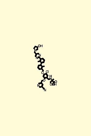 Cc1c(COc2cc(OCc3cncc(C#N)c3)c(CNC(C)(CO)C(=O)O)cc2Cl)cccc1-c1cccc(-c2ncc(CN3CC[C@@H](O)C3)cn2)c1C